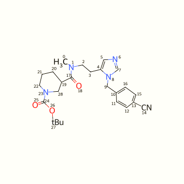 CN(CCc1cncn1Cc1ccc(C#N)cc1)C(=O)C1CCCN(C(=O)OC(C)(C)C)C1